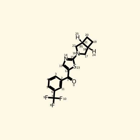 O=C(c1cccc(C(F)(F)F)c1)c1cnc(N2C[C@H]3CC[C@H]3C2)s1